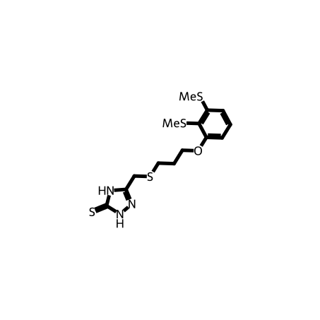 CSc1cccc(OCCCSCc2n[nH]c(=S)[nH]2)c1SC